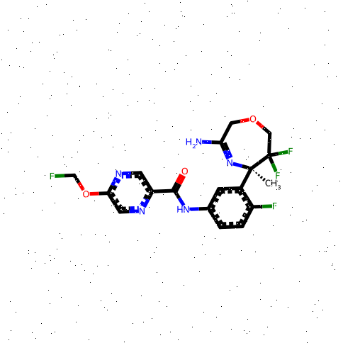 C[C@]1(c2cc(NC(=O)c3cnc(OCF)cn3)ccc2F)N=C(N)COCC1(F)F